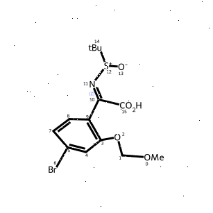 COCOc1cc(Br)ccc1/C(=N/[S+]([O-])C(C)(C)C)C(=O)O